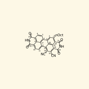 CCCCCCCCc1cc2c3ccc4c5c(ccc(c6c(C#N)c(C#N)c7c(c1C(=O)NC7=O)c26)c53)C(=O)NC4=O